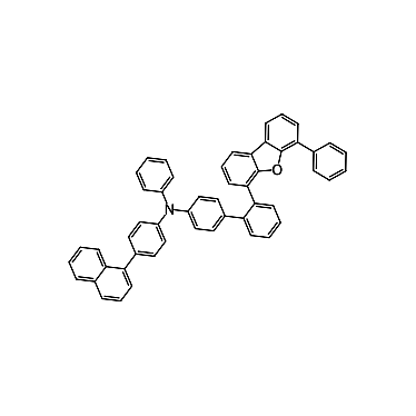 c1ccc(-c2cccc3c2oc2c(-c4ccccc4-c4ccc(N(c5ccccc5)c5ccc(-c6cccc7ccccc67)cc5)cc4)cccc23)cc1